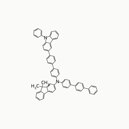 CC1(C)c2ccccc2-c2ccc(N(c3ccc(-c4ccc(-c5ccccc5)cc4)cc3)c3ccc(-c4ccc(-c5ccc6c(c5)c5ccccc5n6-c5ccccc5)cc4)cc3)cc21